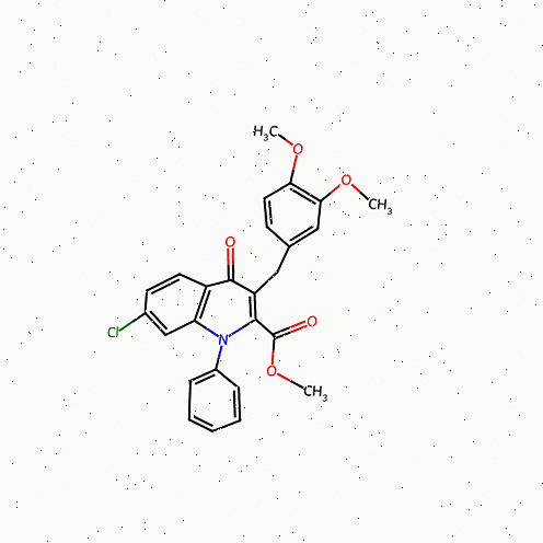 COC(=O)c1c(Cc2ccc(OC)c(OC)c2)c(=O)c2ccc(Cl)cc2n1-c1ccccc1